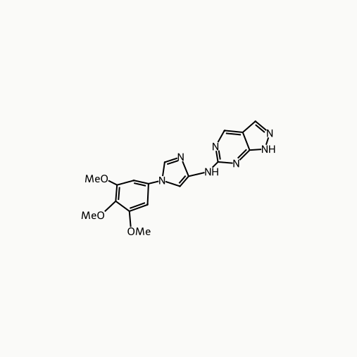 COc1cc(-n2cnc(Nc3ncc4cn[nH]c4n3)c2)cc(OC)c1OC